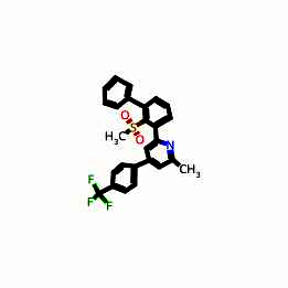 Cc1cc(-c2ccc(C(F)(F)F)cc2)cc(-c2cccc(-c3ccccc3)c2S(C)(=O)=O)n1